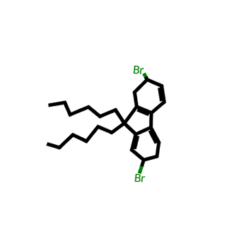 CCCCCCC1(CCCCCC)C2=CC(Br)CC=C2C2=C1CC(Br)C=C2